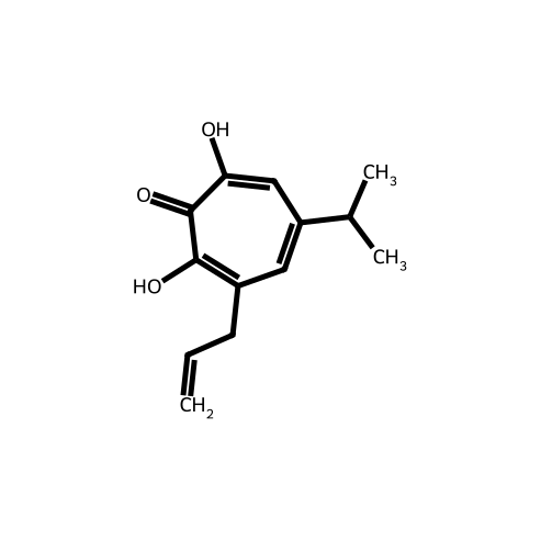 C=CCc1cc(C(C)C)cc(O)c(=O)c1O